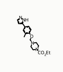 CCOC(=O)N1CCN(COc2ccc(-c3ccn[nH]3)cc2C)CC1